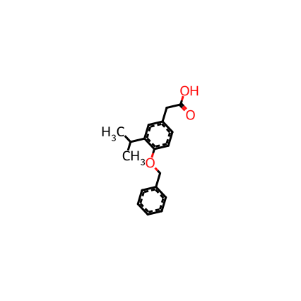 CC(C)c1cc(CC(=O)O)ccc1OCc1ccccc1